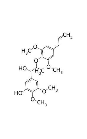 C=CCc1cc(OC)c(OC(C)C(O)c2cc(O)c(OC)c(OC)c2)c(OC)c1